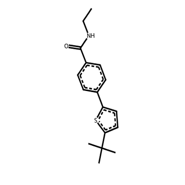 CCNC(=O)c1ccc(-c2ccc(C(C)(C)C)s2)cc1